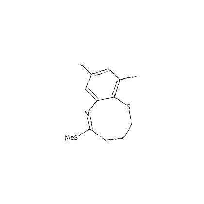 CSC1=Nc2cc(C)cc(C)c2SCCC1